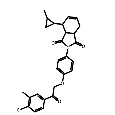 Cc1cc(C(=O)COc2ccc(N3C(=O)C4CC=CC(C5CC5C)C4C3=O)cc2)ccc1Cl